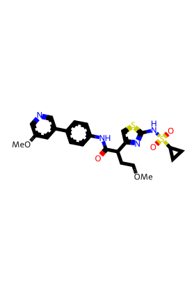 COCCC(C(=O)Nc1ccc(-c2cncc(OC)c2)cc1)c1csc(NS(=O)(=O)C2CC2)n1